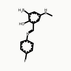 Bc1cc(BC)cc(/C=N/c2ccc(F)cc2)c1O